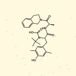 Cc1cc(CC(C(=O)N[C@H](C)C(=O)N2CCc3ccccc3C2)N(C(=O)O)C(C)(C)C)c(C)cc1O